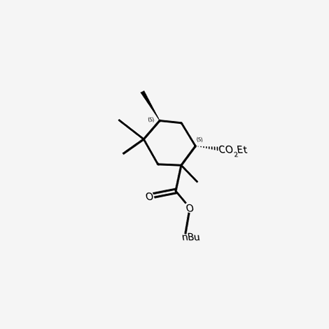 CCCCOC(=O)C1(C)CC(C)(C)[C@@H](C)C[C@@H]1C(=O)OCC